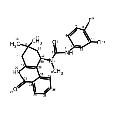 CN(C(=O)Nc1ccc(F)c(Cl)c1)[C@@H]1CC(C)(C)Cc2[nH]c(=O)c3ccccc3c21